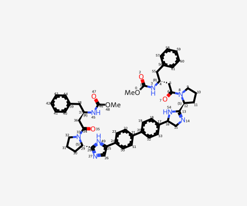 COC(=O)N[C@@H](CC(=O)N1CCC[C@H]1C1=NCC(c2ccc(-c3ccc(-c4cnc([C@@H]5CCCN5C(=O)C[C@@H](Cc5ccccc5)NC(=O)OC)[nH]4)cc3)cc2)N1)Cc1ccccc1